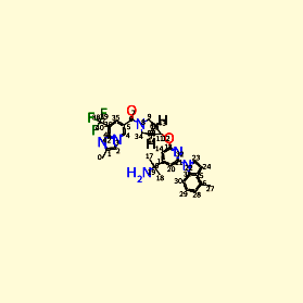 Cc1cn2cc(C(=O)N3C[C@@H]4C(Oc5cc(C(C)(C)N)cc(-n6ccc7c(C)cccc76)n5)[C@@H]4C3)cc(C(F)(F)F)c2n1